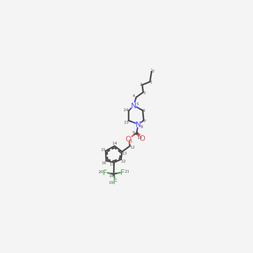 [CH2]CCCCN1CCN(C(=O)OCc2cccc(C(F)(F)F)c2)CC1